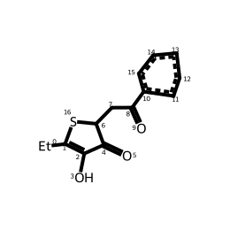 CCC1=C(O)C(=O)C(CC(=O)c2ccccc2)S1